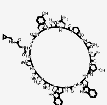 CCCC[C@H]1C(=O)N(C)[C@@H](CCCC)C(=O)N[C@@H](CC(C)C)C(=O)N[C@H](C(=O)NCC(=O)NCC2CC2)CSCC(=O)N[C@@H](Cc2ccc(O)cc2)C(=O)N(C)[C@@H](C)C(=O)N[C@@H](CC(N)=O)C(=O)N2CCC[C@H]2C(=O)N[C@@H](CN)C(=O)N[C@@H](CC(C)C)C(=O)N2C[C@H](O)C[C@H]2C(=O)N[C@@H](Cc2c[nH]c3ccccc23)C(=O)NCC(=O)NC(Cc2c[nH]c3ccccc23)C(=O)N1C